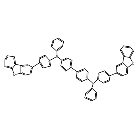 c1ccc(N(c2ccc(-c3ccc(N(c4ccccc4)c4ccc(-c5ccc6oc7ccccc7c6c5)cc4)cc3)cc2)c2ccc(-c3ccc4oc5ccccc5c4c3)cc2)cc1